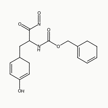 O=NC(=O)C(CC1C=CC(O)=CC1)NC(=O)OCC1=CC=CCC1